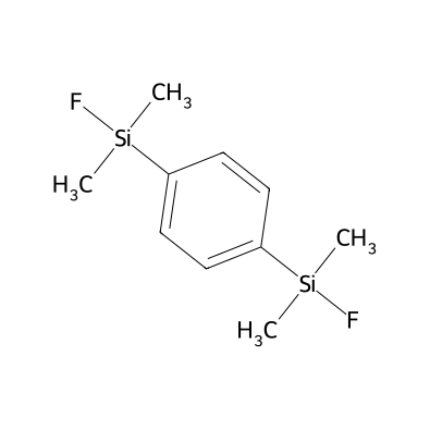 C[Si](C)(F)c1ccc([Si](C)(C)F)cc1